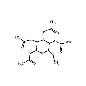 CSC1OC(OC(C)=O)C(OC(C)=O)C(OC(C)=O)C1OC(C)=O